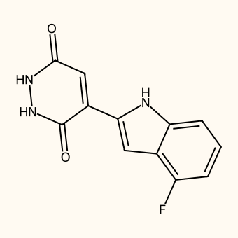 O=c1cc(-c2cc3c(F)cccc3[nH]2)c(=O)[nH][nH]1